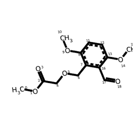 COC(=O)COCc1c(OC)ccc(OC)c1C=O